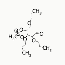 CCCOC[C@@H](OS(C)(=O)=O)[C@H](OCCC)[C@H](C=O)OCCC